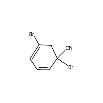 N#CC1(Br)C=CC=C(Br)C1